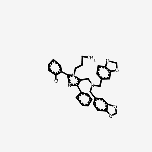 CCCCn1c(-c2ccccc2Cl)nc(-c2ccccc2)c1CN(Cc1ccc2c(c1)OCO2)Cc1ccc2c(c1)OCO2